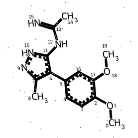 COc1ccc(-c2c(C)n[nH]c2NC(C)=N)cc1OC